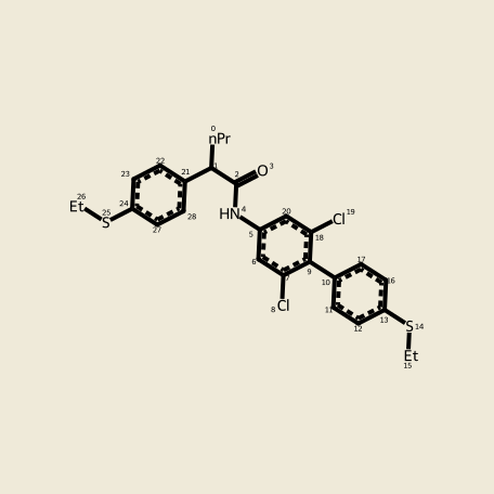 CCCC(C(=O)Nc1cc(Cl)c(-c2ccc(SCC)cc2)c(Cl)c1)c1ccc(SCC)cc1